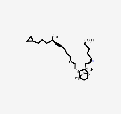 CC(C#CCCCOCC[C@@H]1[C@@H](C/C=C\CCCC(=O)O)[C@H]2CC[C@@H]1O2)CCCC1CC1